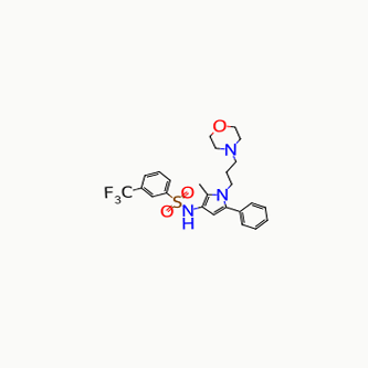 Cc1c(NS(=O)(=O)c2cccc(C(F)(F)F)c2)cc(-c2ccccc2)n1CCCN1CCOCC1